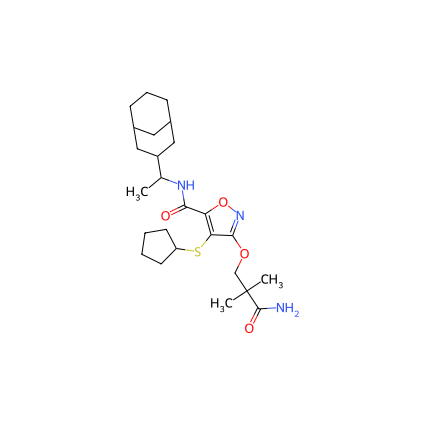 CC(NC(=O)c1onc(OCC(C)(C)C(N)=O)c1SC1CCCC1)C1CC2CCCC(C2)C1